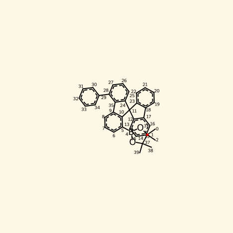 CC1(C)OB(c2cccc3c2C2(c4ccccc4-c4ccccc42)c2cccc(-c4ccccc4)c2-3)OC1(C)C